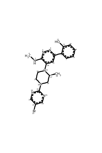 CNc1nnc(-c2ccccc2O)cc1N1CCN(c2ncc(Br)cn2)C[C@@H]1C